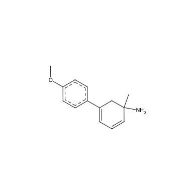 COc1ccc(C2=CC=CC(C)(N)C2)cc1